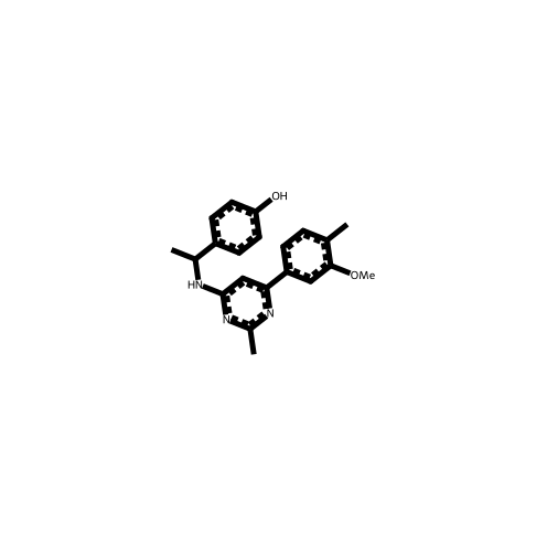 COc1cc(-c2cc(NC(C)c3ccc(O)cc3)nc(C)n2)ccc1C